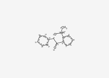 C[NH+]([O-])c1ccccc1C(=O)Cc1ccccn1